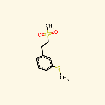 CSc1cccc(CCS(C)(=O)=O)c1